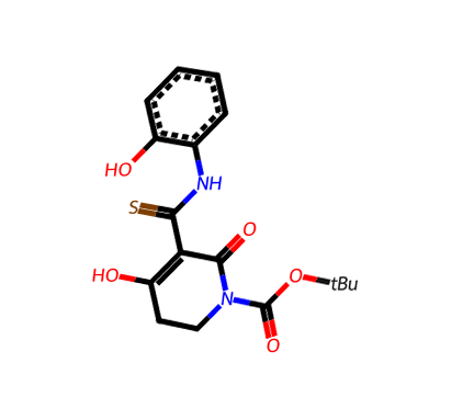 CC(C)(C)OC(=O)N1CCC(O)=C(C(=S)Nc2ccccc2O)C1=O